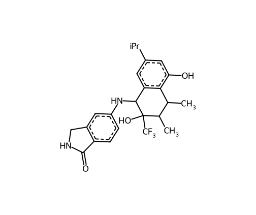 CC(C)c1cc(O)c2c(c1)C(Nc1ccc3c(c1)CNC3=O)C(O)(C(F)(F)F)C(C)C2C